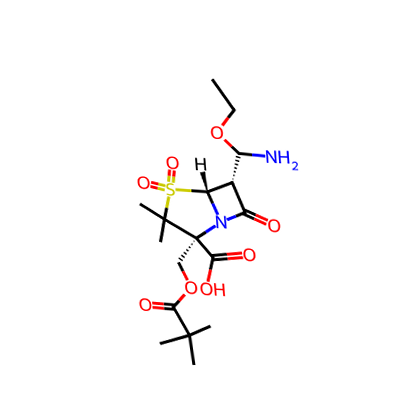 CCOC(N)[C@@H]1C(=O)N2[C@@H]1S(=O)(=O)C(C)(C)[C@]2(COC(=O)C(C)(C)C)C(=O)O